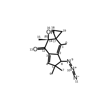 CC1=C2C(=CC(C)(C)C2N=[N+]=[N-])C(=O)[C@](C)(O)C12CC2